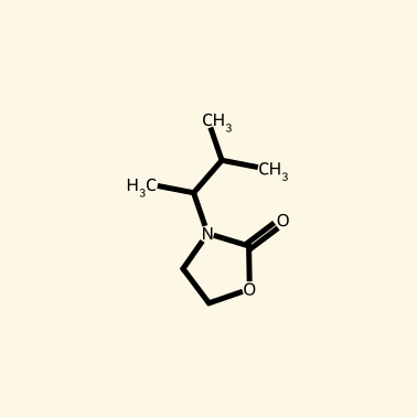 CC(C)C(C)N1CCOC1=O